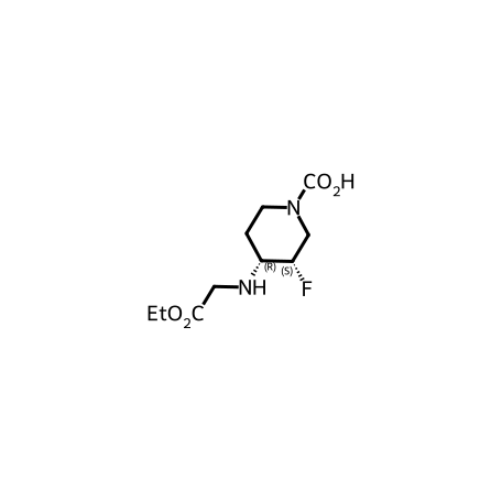 CCOC(=O)CN[C@@H]1CCN(C(=O)O)C[C@@H]1F